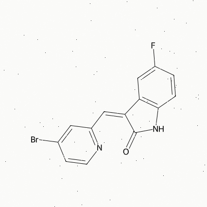 O=C1Nc2ccc(F)cc2C1=Cc1cc(Br)ccn1